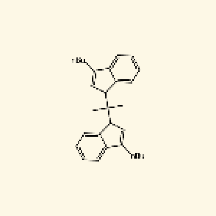 CCCCC1=CC(C(C)(C)C2C=C(CCCC)c3ccccc32)c2ccccc21